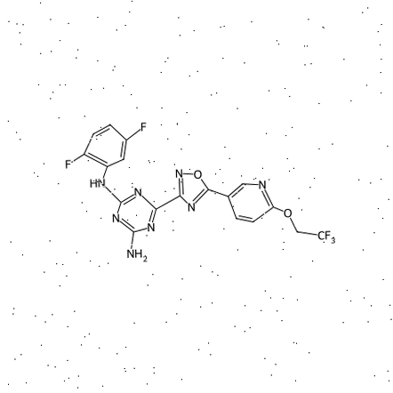 Nc1nc(Nc2cc(F)ccc2F)nc(-c2noc(-c3ccc(OCC(F)(F)F)nc3)n2)n1